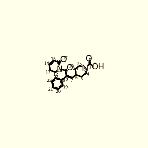 O=C(O)N1CCC(C=C(C(=O)N2CCC=CC2=O)c2ccccc2)CC1